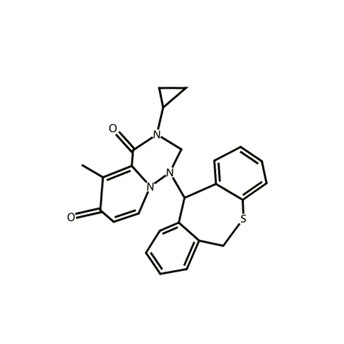 Cc1c2n(ccc1=O)N(C1c3ccccc3CSc3ccccc31)CN(C1CC1)C2=O